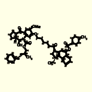 COc1cc2c(cc1OCCCCCC(=O)N1C[C@@H](CCl)c3c1cc(OC(=O)N1CCN(C)CC1)c1ccccc31)N(C(=O)OCC(C)SSc1ccccn1)C(O)[C@@H]1CCCN1C2=O